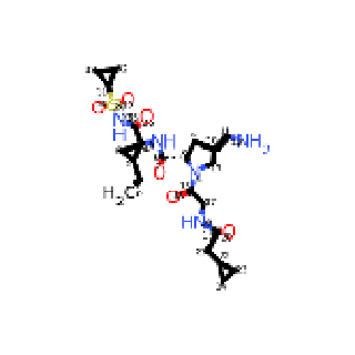 C=CC1CC1(NC(=O)[C@@H]1C/C(=C/N)CN1C(=O)CNC(=O)CC1CC1)C(=O)NS(=O)(=O)C1CC1